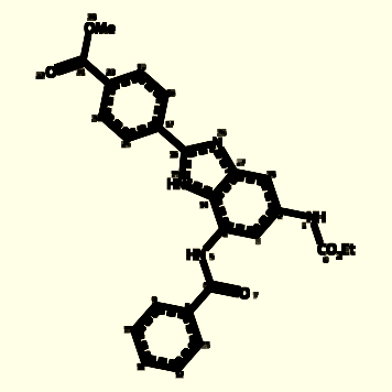 CCOC(=O)Nc1cc(NC(=O)c2ccccc2)c2[nH]c(-c3ccc(C(=O)OC)cc3)nc2c1